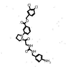 Nc1ccc(CNC(=O)NCC(=O)N2CCCN2c2cccc(C(=O)OCc3ccc(Cl)c(Cl)c3)c2)cc1